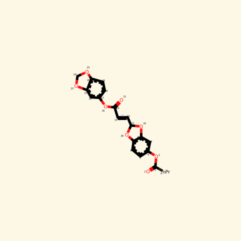 CCCC(=O)Oc1ccc2c(c1)OC(/C=C/C(=O)Oc1ccc3c(c1)OCO3)O2